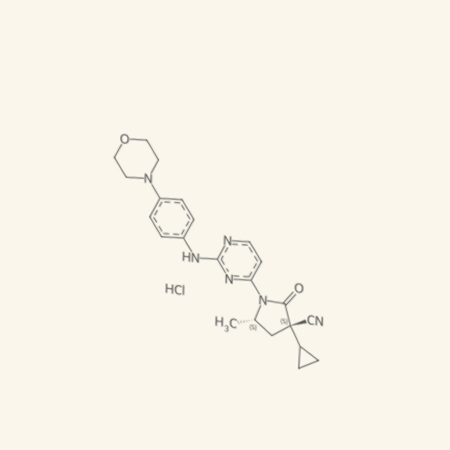 C[C@H]1C[C@@](C#N)(C2CC2)C(=O)N1c1ccnc(Nc2ccc(N3CCOCC3)cc2)n1.Cl